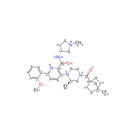 CCOc1ccccc1-c1ccc(N2CCN(C(=O)C34CCC(C(F)(F)F)(CC3)C4)C[C@H]2CC)c(C(=O)N[C@@H]2CCN(C)C2)n1